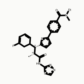 CCN(C)C(=O)c1ccc(-c2ccc([C@@H](C3C=CC=C(F)C3)[C@@H](C)C(=O)Nc3nncs3)s2)cc1